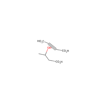 CC(O)CC(=O)O.O=C(O)C#CC(=O)O